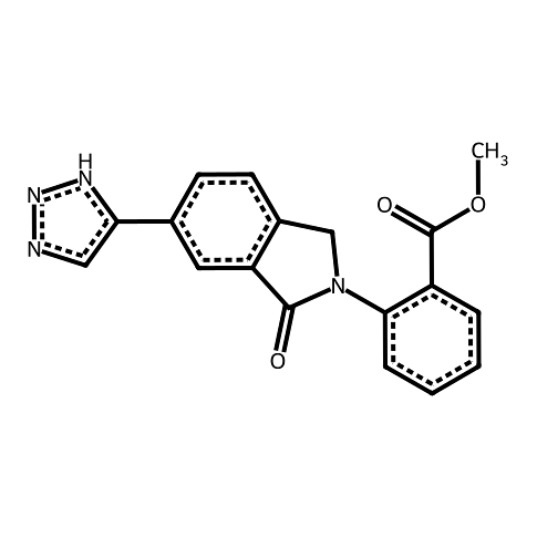 COC(=O)c1ccccc1N1Cc2ccc(-c3cnn[nH]3)cc2C1=O